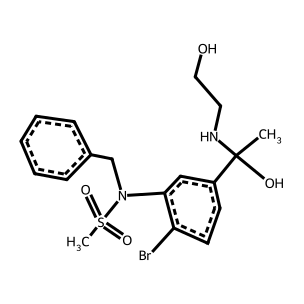 CC(O)(NCCO)c1ccc(Br)c(N(Cc2ccccc2)S(C)(=O)=O)c1